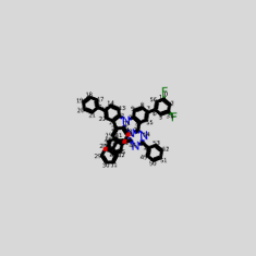 Fc1cc(F)cc(-c2ccc(-n3c4ccc(-c5ccccc5)cc4c4cc(-c5ccccc5)ccc43)c(-c3nc(-c4ccccc4)nc(-c4ccccc4)n3)c2)c1